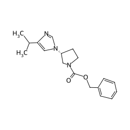 CC(C)c1cn([C@@H]2CCN(C(=O)OCc3ccccc3)C2)cn1